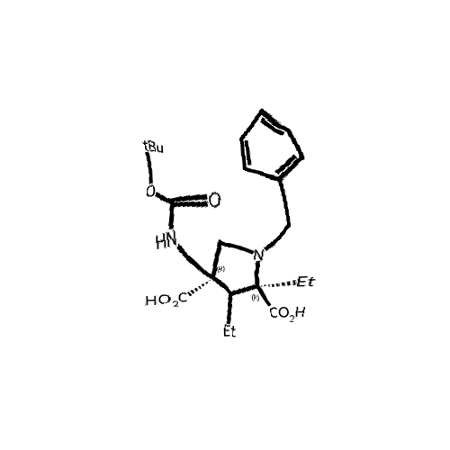 CCC1[C@](CC)(C(=O)O)N(Cc2ccccc2)C[C@@]1(NC(=O)OC(C)(C)C)C(=O)O